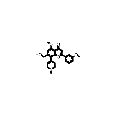 COc1cccc(-c2cc(=O)c3c(OC)cc(CO)c(C4=CCN(C)CC4)c3o2)c1